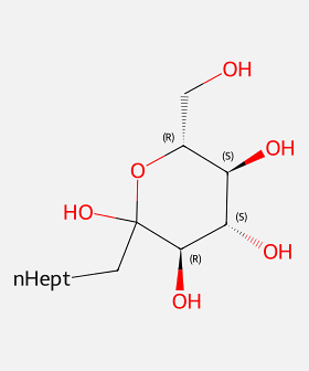 CCCCCCCCC1(O)O[C@H](CO)[C@@H](O)[C@H](O)[C@H]1O